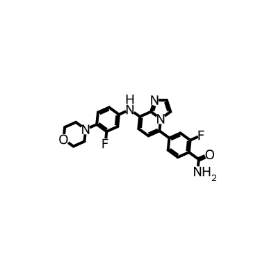 NC(=O)c1ccc(-c2ccc(Nc3ccc(N4CCOCC4)c(F)c3)c3nccn23)cc1F